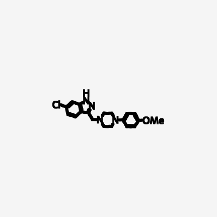 COc1ccc(N2CCN(Cc3n[nH]c4cc(Cl)ccc34)CC2)cc1